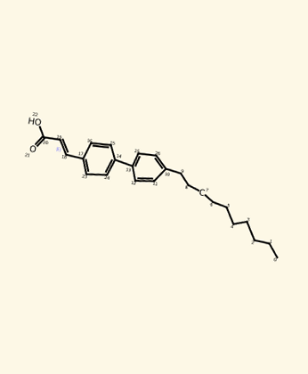 CCCCCCCCCCc1ccc(-c2ccc(/C=C/C(=O)O)cc2)cc1